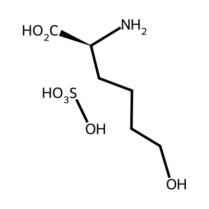 N[C@@H](CCCCO)C(=O)O.O=S(=O)(O)O